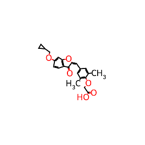 Cc1cc(C=C2Oc3cc(OCC4CC4)ccc3C2=O)cc(C)c1OCC(=O)O